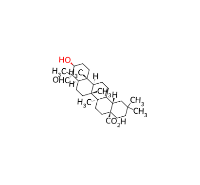 CC1(C)CC[C@]2(C(=O)O)CC[C@]3(C)C(=CC[C@@H]4[C@@]5(C)CC[C@H](O)[C@@](C)(C=O)[C@@H]5CC[C@]43C)[C@@H]2C1